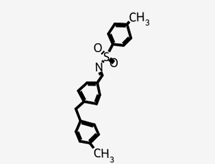 Cc1ccc(Cc2ccc(/C=N/S(=O)(=O)c3ccc(C)cc3)cc2)cc1